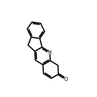 O=C1C=Cc2cc3c(nc2C1)-c1ccccc1C3